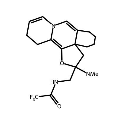 CNC1(CNC(=O)C(F)(F)F)CC23CCCCC2=CN2C=CCCC2=C3O1